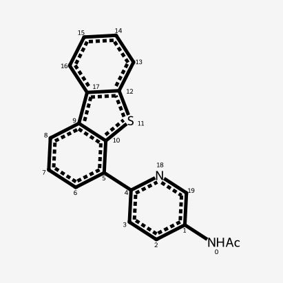 CC(=O)Nc1ccc(-c2cccc3c2sc2ccccc23)nc1